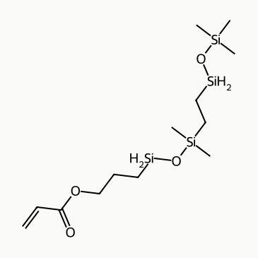 C=CC(=O)OCCC[SiH2]O[Si](C)(C)CC[SiH2]O[Si](C)(C)C